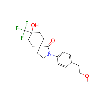 COCCc1ccc(N2CCC3(CCC(O)(C(F)(F)F)CC3)C2=O)cc1